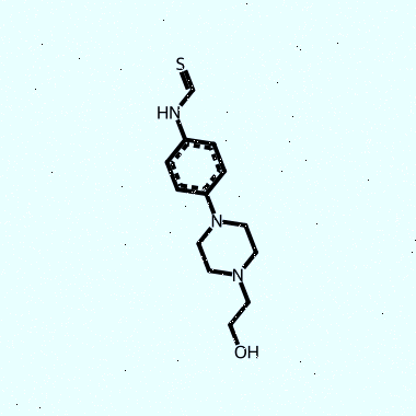 OCCN1CCN(c2ccc(NC=S)cc2)CC1